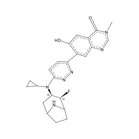 Cn1cnc2cc(-c3ccc(N(C4CC4)[C@@H]4CC5CCC(N5)[C@@H]4F)nn3)c(O)cc2c1=O